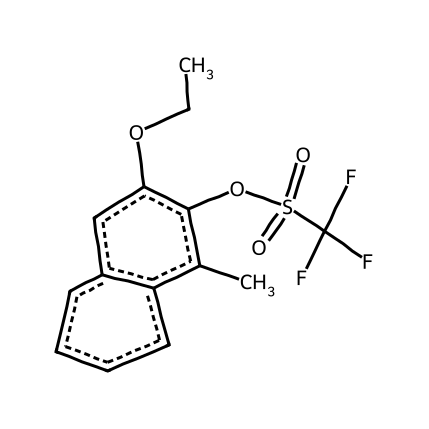 CCOc1cc2ccccc2c(C)c1OS(=O)(=O)C(F)(F)F